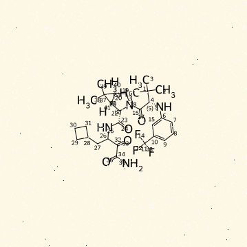 CC(C)(C)[C@H](Nc1cccc(C(F)(F)F)c1)C(=O)N1C[C@H]2[C@@H]([C@H]1C(=O)NC(CC1CCC1)C(=O)C(N)=O)C2(C)C